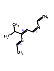 C=C\N=C/C=C(\N=C\C)C(C)C